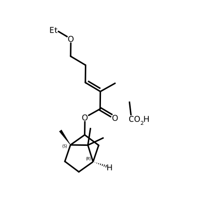 CC(=O)O.CCOCCC=C(C)C(=O)OC1C[C@H]2CC[C@@]1(C)C2(C)C